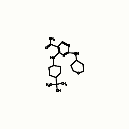 CC(C)(O)C1CCC(Nc2nc(NC3CCOCC3)ncc2C(N)=O)CC1